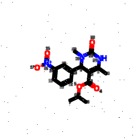 CC1=C(C(=O)OC(C)C)C(c2cccc([N+](=O)[O-])c2)N(C)C(=O)N1